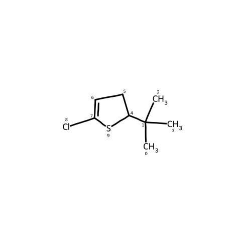 CC(C)(C)C1CC=C(Cl)S1